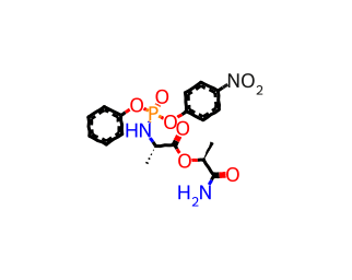 C[C@H](NP(=O)(Oc1ccccc1)Oc1ccc([N+](=O)[O-])cc1)C(=O)O[C@@H](C)C(N)=O